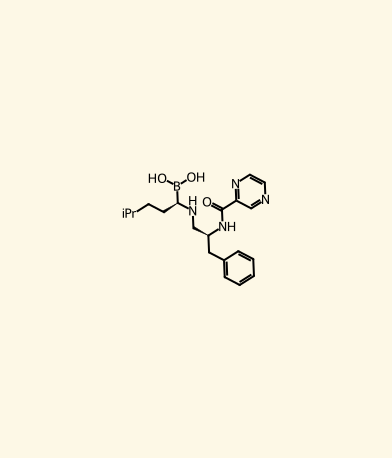 CC(C)CC[C@H](NC[C@H](Cc1ccccc1)NC(=O)c1cnccn1)B(O)O